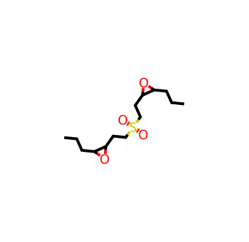 CCCC1OC1CCS(=O)(=O)CCC1OC1CCC